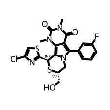 Cn1c(=O)c2c(-c3cccc(F)c3)n3c(c2n(C)c1=O)[C@H](c1nc(Cl)cs1)S[C@@H](CO)C3